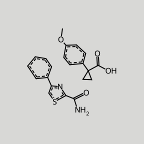 COc1ccc(C2(C(=O)O)CC2)cc1.NC(=O)c1nc(-c2ccccc2)cs1